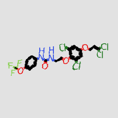 O=C(NCCOc1c(Cl)cc(OCC=C(Cl)Cl)cc1Cl)Nc1ccc(OC(F)(F)F)cc1